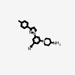 Cc1ccc(-c2ccn(-c3cc(C#N)cc(N4CCC(N)CC4)c3)n2)cc1